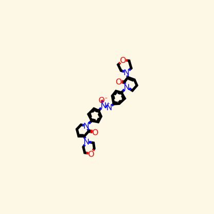 O=C1C(N2CCOCC2)=CCCN1c1ccc(N=[N+]([O-])c2ccc(N3CCC=C(N4CCOCC4)C3=O)cc2)cc1